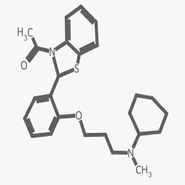 CC(=O)N1c2ccccc2SC1c1ccccc1OCCCN(C)C1CCCCC1